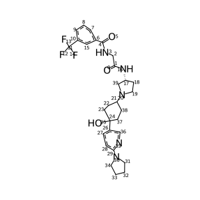 O=C(CNC(=O)c1cccc(C(F)(F)F)c1)N[C@@H]1CCN(C2CCC(O)(c3ccc(N4CCCC4)nc3)CC2)C1